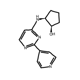 O[C@@H]1CCC[C@@H]1Nc1ccnc(-c2ccncc2)n1